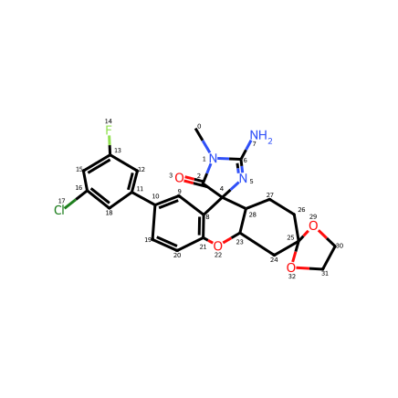 CN1C(=O)C2(N=C1N)c1cc(-c3cc(F)cc(Cl)c3)ccc1OC1CC3(CCC12)OCCO3